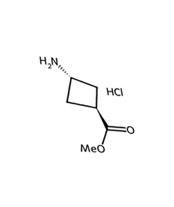 COC(=O)[C@H]1C[C@H](N)C1.Cl